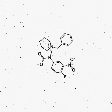 O=C(O)N(CC1C2CCC1N(Cc1ccccc1)C2)c1ccc(F)c([N+](=O)[O-])c1